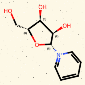 OC[C@H]1O[C@@H]([n+]2ccccc2)[C@H](O)[C@@H]1O